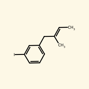 C/C=C(\C)Cc1cccc(I)c1